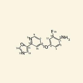 Nc1ccc(Oc2ccnc(-c3cnco3)c2)cc1F